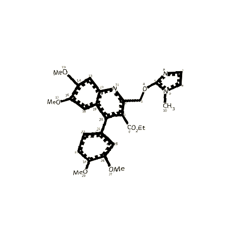 CCOC(=O)c1c(COc2nccn2C)nc2cc(OC)c(OC)cc2c1-c1ccc(OC)c(OC)c1